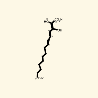 CCCCCCCCCCCCCCCCCC=CC=CC(O)=C(O)C(=O)O